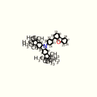 CC1(C)c2cc3c4cc5c(cc4n(-c4ccc(-c6cccc7c6oc6ccccc67)cc4)c3cc2C(C)(C)C1(C)C)C(C)(C)C(C)(C)C5(C)C